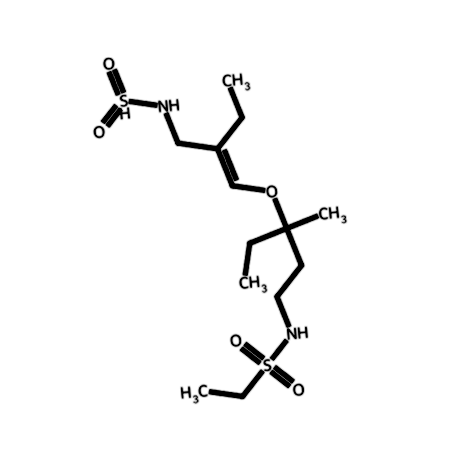 CC/C(=C\OC(C)(CC)CCNS(=O)(=O)CC)CN[SH](=O)=O